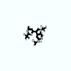 CC(=O)Nc1cc2c(-c3cc(C)nc(C(C)(F)F)n3)cn(C(F)(F)F)c2cn1